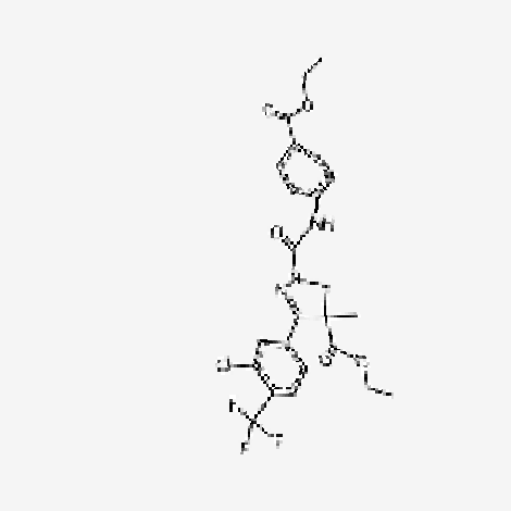 CCOC(=O)c1ccc(NC(=O)N2CC(C)(C(=O)OCC)C(c3ccc(C(F)(F)F)c(Cl)c3)=N2)cc1